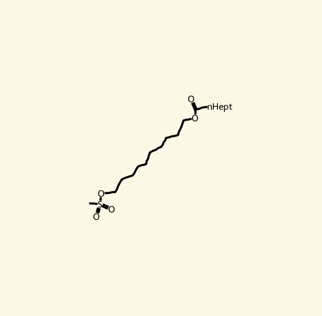 CCCCCCCC(=O)OCCCCCCCCCCOS(C)(=O)=O